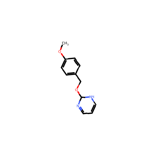 COc1ccc(CO[C]2N=CC=CN2)cc1